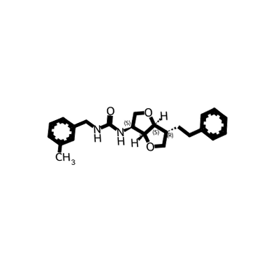 Cc1cccc(CNC(=O)N[C@H]2CO[C@H]3[C@H](CCc4ccccc4)CO[C@@H]32)c1